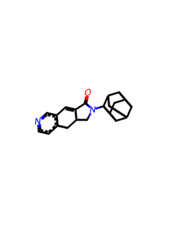 O=C1C2=Cc3cnccc3CC2CN1C1C2CC3CC(C2)CC1C3